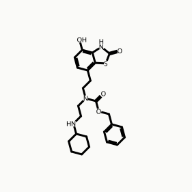 O=C(OCc1ccccc1)N(CCNC1CCCCC1)CCc1ccc(O)c2[nH]c(=O)sc12